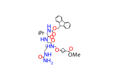 COC(=O)C12CC(OCNC(=O)[C@H](CCCNC(N)=O)NC(=O)[C@@H](NC(=O)OCC3c4ccccc4-c4ccccc43)C(C)C)(C1)C2